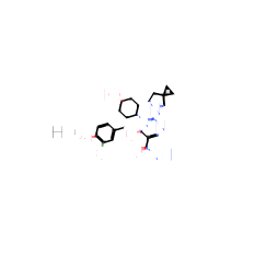 COc1ccc(COC2C(C(N)=O)=CN=C(N3CCC4(CC4)C3)N2[C@H]2CC[C@H](O)CC2)cc1Cl